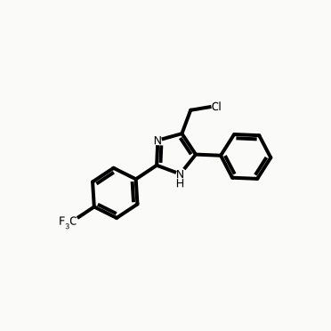 FC(F)(F)c1ccc(-c2nc(CCl)c(-c3ccccc3)[nH]2)cc1